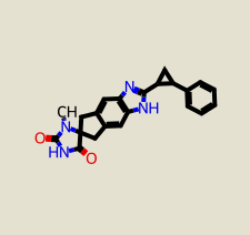 CN1C(=O)NC(=O)C12Cc1cc3nc(C4CC4c4ccccc4)[nH]c3cc1C2